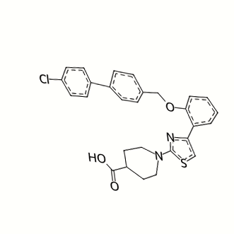 O=C(O)C1CCN(c2nc(-c3ccccc3OCc3ccc(-c4ccc(Cl)cc4)cc3)cs2)CC1